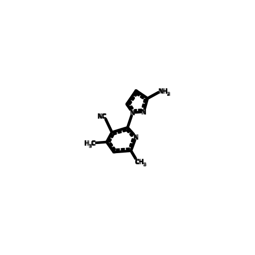 Cc1cc(C)c(C#N)c(-n2ccc(N)n2)n1